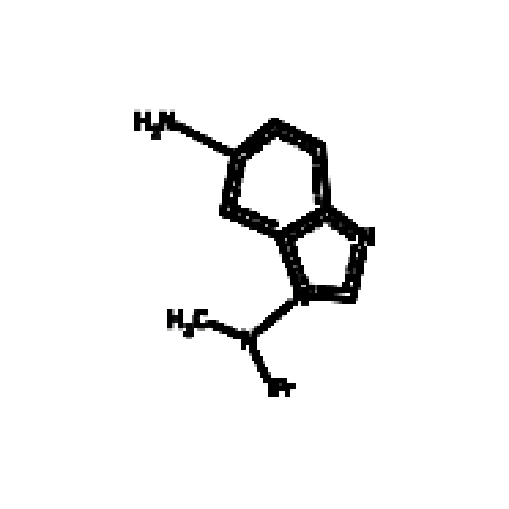 CC(C)N(C)n1cnc2ccc(N)cc21